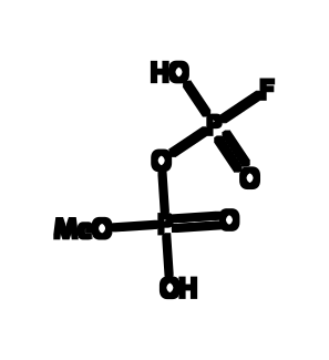 COP(=O)(O)OP(=O)(O)F